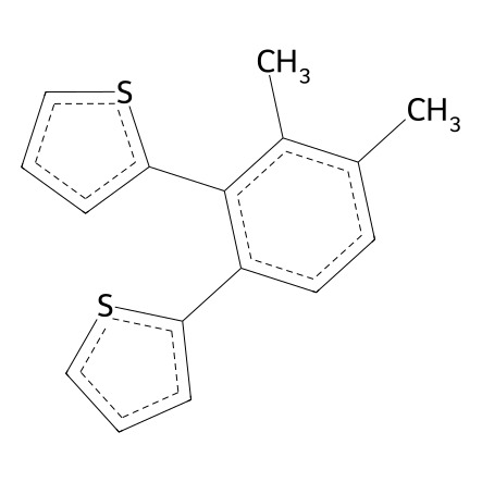 Cc1ccc(-c2cccs2)c(-c2cccs2)c1C